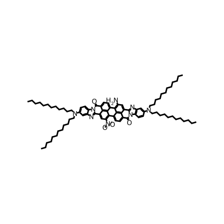 CCCCCCCCCCCCN(CCCCCCCCCCCC)c1ccc2c(c1)nc1c3cc(N)c4c5ccc6c(=O)n7c8ccc(N(CCCCCCCCCCCC)CCCCCCCCCCCC)cc8nc7c7cc([N+](=O)[O-])c(c8ccc(c(=O)n21)c3c84)c5c67